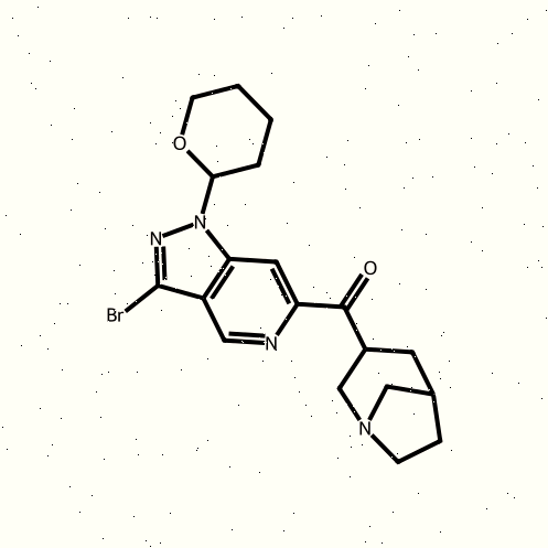 O=C(c1cc2c(cn1)c(Br)nn2C1CCCCO1)C1CC2CCN(C2)C1